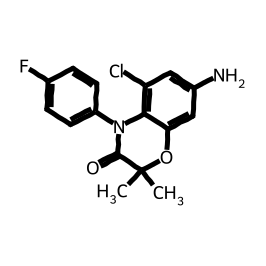 CC1(C)Oc2cc(N)cc(Cl)c2N(c2ccc(F)cc2)C1=O